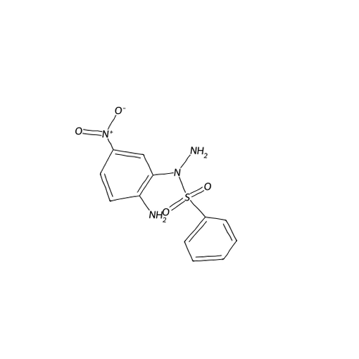 Nc1ccc([N+](=O)[O-])cc1N(N)S(=O)(=O)c1ccccc1